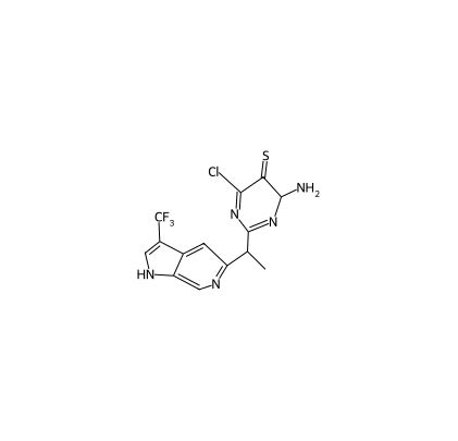 CC(C1=NC(N)C(=S)C(Cl)=N1)c1cc2c(C(F)(F)F)c[nH]c2cn1